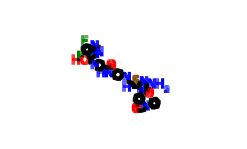 Nc1nc2sc(CNC3CCC(NC(=O)C4CCN(CC(O)(Cn5cncn5)c5ccc(F)cc5F)CC4)CC3)cc2n(-c2ccc3c(c2)N(c2ccccc2)CCO3)c1=O